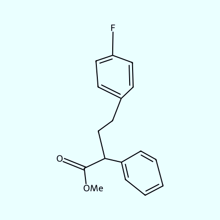 COC(=O)C(CCc1ccc(F)cc1)c1ccccc1